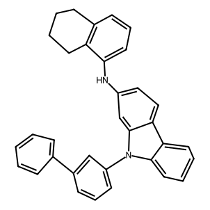 c1ccc(-c2cccc(-n3c4ccccc4c4ccc(Nc5cccc6c5CCCC6)cc43)c2)cc1